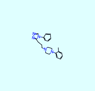 Cc1ccccc1N1CCN(CCCc2nncn2-c2ccccc2)CC1